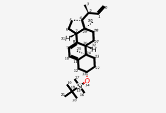 C=C[C@H](C)[C@H]1CC[C@H]2C3=CC=C4C[C@@H](O[Si](C)(C)C(C)(C)C)CC[C@]4(C)[C@H]3CC[C@]12C